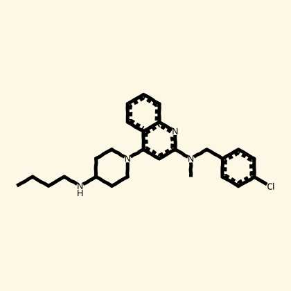 CCCCNC1CCN(c2cc(N(C)Cc3ccc(Cl)cc3)nc3ccccc23)CC1